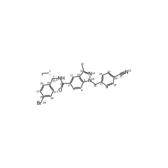 CC[C@H](NC(=O)c1ccc2c(c1)c(C)nn2Cc1ccc(C#N)cc1)c1ccc(Br)cc1